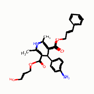 CC1=C(C(=O)OC/C=C/c2ccccc2)C(c2ccc(N)cc2)C(C(=O)OCCCO)=C(C)N1